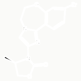 C[C@@H]1COC(=O)N1c1cn2c(n1)-c1ccc(Br)cc1OCC2